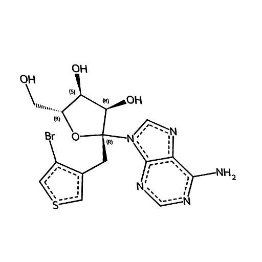 Nc1ncnc2c1ncn2[C@]1(Cc2cscc2Br)O[C@H](CO)[C@@H](O)[C@H]1O